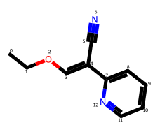 CCOC=C(C#N)c1ccccn1